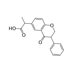 CC(C(=O)O)c1ccc2c(c1)C(=O)C(c1ccccc1)CO2